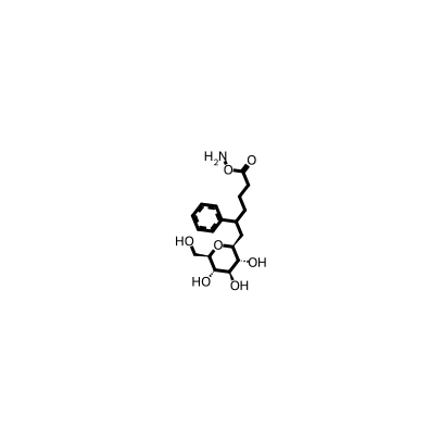 NOC(=O)CCCC(C[C@@H]1O[C@H](CO)[C@@H](O)[C@H](O)[C@H]1O)c1ccccc1